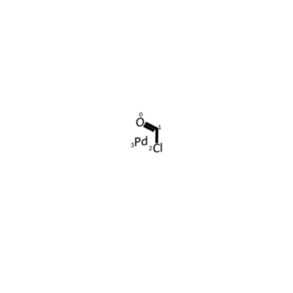 O=CCl.[Pd]